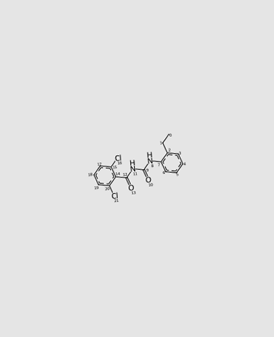 CCc1ccccc1NC(=O)NC(=O)c1c(Cl)cccc1Cl